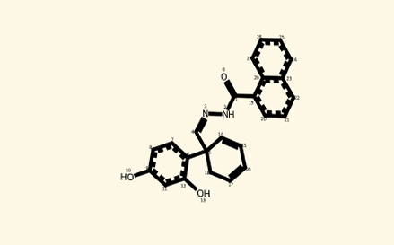 O=C(N/N=C\C1(c2ccc(O)cc2O)C=CC=CC1)c1cccc2ccccc12